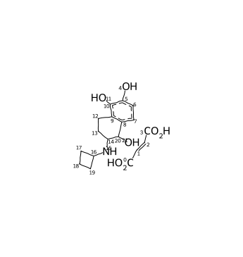 O=C(O)C=CC(=O)O.Oc1ccc2c(c1O)CCC(NC1CCC1)C2O